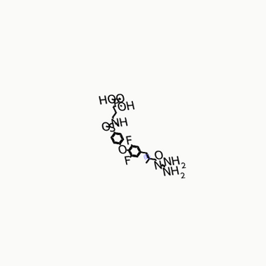 C/C(=C\c1cc(F)c(Oc2ccc([S+]([O-])NCCCP(=O)(O)O)cc2)c(F)c1)C(=O)N=C(N)N